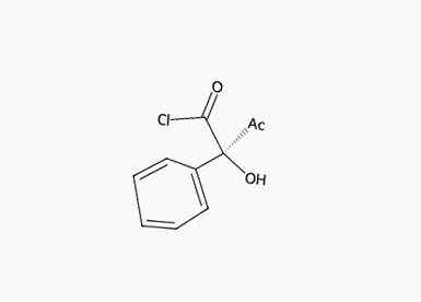 CC(=O)[C@@](O)(C(=O)Cl)c1ccccc1